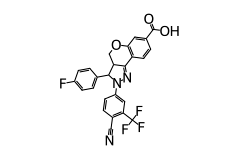 N#Cc1ccc(N2N=C3c4ccc(C(=O)O)cc4OCC3C2c2ccc(F)cc2)cc1C(F)(F)F